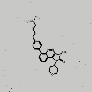 CN(C)CCCOc1ccc(-c2cccc3c2nnc2c3n(C3CCOCC3)c(=O)n2C)cn1